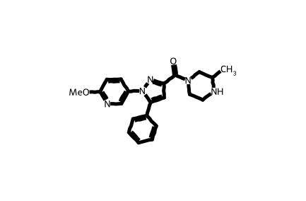 COc1ccc(-n2nc(C(=O)N3CCNC(C)C3)cc2-c2ccccc2)cn1